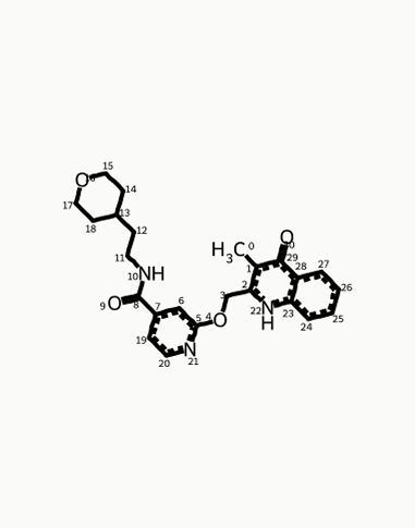 Cc1c(COc2cc(C(=O)NCCC3CCOCC3)ccn2)[nH]c2ccccc2c1=O